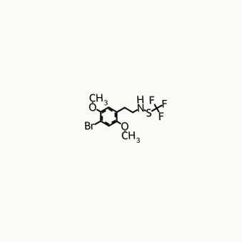 COc1cc(CCNSC(F)(F)F)c(OC)cc1Br